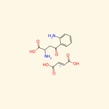 Nc1ccccc1C(=O)CC(N)C(=O)O.O=C(O)/C=C/C(=O)O